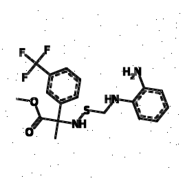 COC(=O)C(C)(NSCNc1ccccc1N)c1cccc(C(F)(F)F)c1